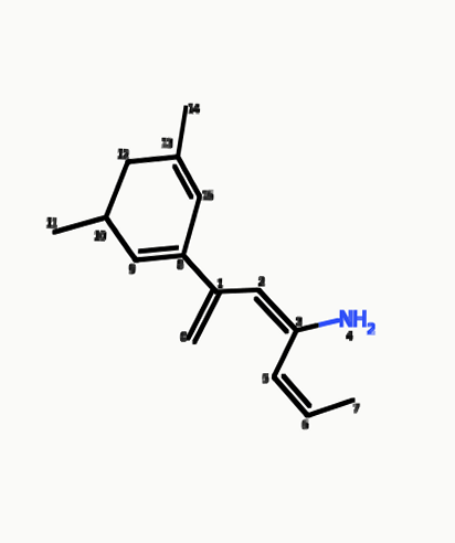 C=C(/C=C(N)\C=C/C)C1=CC(C)CC(C)=C1